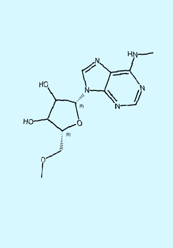 CNc1ncnc2c1ncn2[C@@H]1O[C@H](COC)C(O)C1O